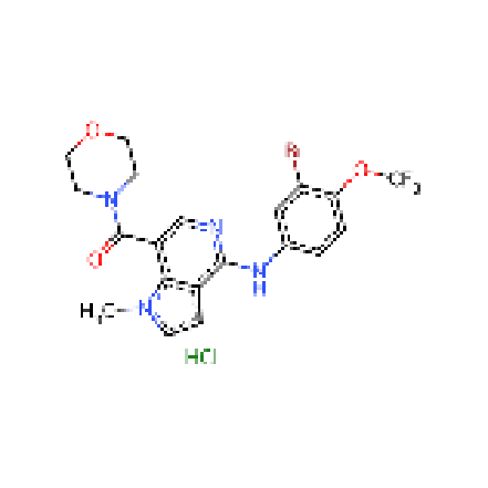 Cl.Cn1ccc2c(Nc3ccc(OC(F)(F)F)c(Br)c3)ncc(C(=O)N3CCOCC3)c21